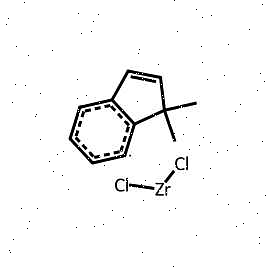 CC1(C)C=Cc2ccc[c]c21.[Cl][Zr][Cl]